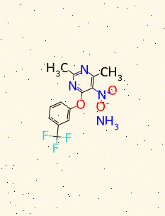 Cc1nc(C)c([N+](=O)[O-])c(Oc2cccc(C(F)(F)F)c2)n1.N